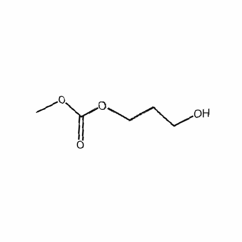 COC(=O)OCCCO